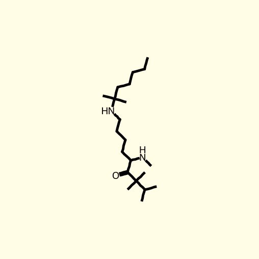 CCCCCC(C)(C)NCCCCC(NC)C(=O)C(C)(C)C(C)C